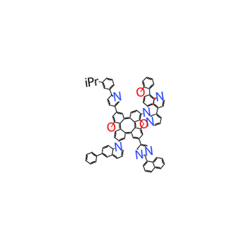 CC(C)c1cccc(-c2ccc(-c3cc4oc5cc(N6C=CC=C7C=C(c8ccccc8)C=CC76)cc6c7cc(-c8cnc(-c9cccc%10ccccc9%10)nc8)cc8oc9c(N(c%10ccc%11c(c%10)oc%10ccccc%10%11)c%10ncccc%10-c%10ccncc%10)ccc(c(c3)c4c56)c9c87)cn2)c1